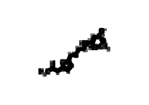 CNCc1ccc(CSCCNC(=C[N+](=O)[O-])NC)o1